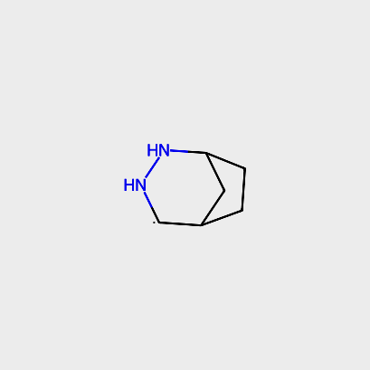 [CH]1NNC2CCC1C2